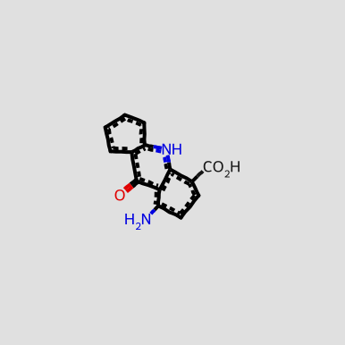 Nc1ccc(C(=O)O)c2[nH]c3ccccc3c(=O)c12